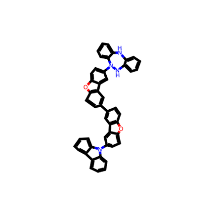 c1ccc2[nH]n(-c3ccc4oc5ccc(-c6ccc7oc8ccc(-n9c%10ccccc%10c%10ccccc%109)cc8c7c6)cc5c4c3)c3ccccc3[nH]c2c1